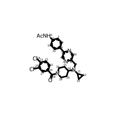 CC(=O)Nc1ccc(-c2cnc(CN(C3CC3)C3CCN(C(=O)c4ccc(Cl)c(Cl)c4)CC3)cn2)cc1